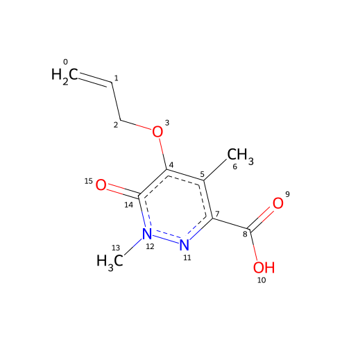 C=CCOc1c(C)c(C(=O)O)nn(C)c1=O